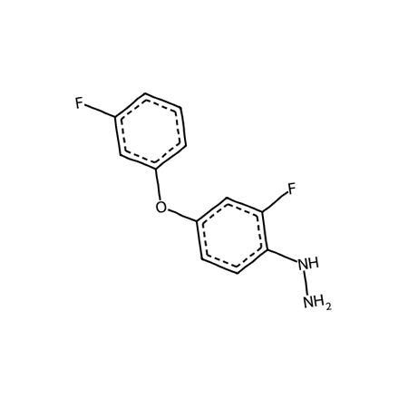 NNc1ccc(Oc2cccc(F)c2)cc1F